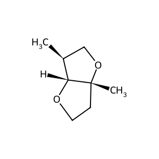 C[C@H]1CO[C@]2(C)CCO[C@H]12